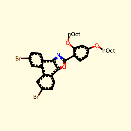 CCCCCCCCOc1ccc(-c2nc3c4ccc(Br)cc4c4cc(Br)ccc4c3o2)c(OCCCCCCCC)c1